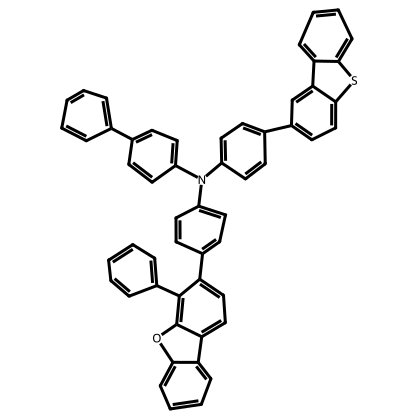 c1ccc(-c2ccc(N(c3ccc(-c4ccc5sc6ccccc6c5c4)cc3)c3ccc(-c4ccc5c(oc6ccccc65)c4-c4ccccc4)cc3)cc2)cc1